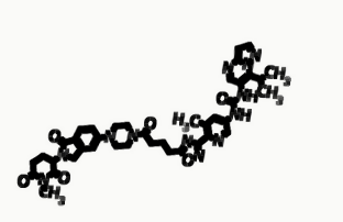 Cc1cc(NC(=O)Nc2cnc3ccnn3c2C(C)C)cnc1-c1noc(CCCC(=O)N2CCN(c3ccc4c(c3)CN(C3CCC(=O)N(C)C3=O)C4=O)CC2)n1